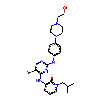 CC(C)Cn1cccc(Nc2nc(Nc3ccc(N4CCN(CCO)CC4)cc3)ncc2Br)c1=O